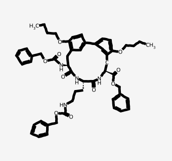 CCCCOc1ccc2cc1C[C@H](NC(=O)OCc1ccccc1)C(=O)N[C@@H](CCCNC(=O)OCc1ccccc1)C(=O)N[C@H](C(=O)OCc1ccccc1)Cc1cc-2ccc1OCCCC